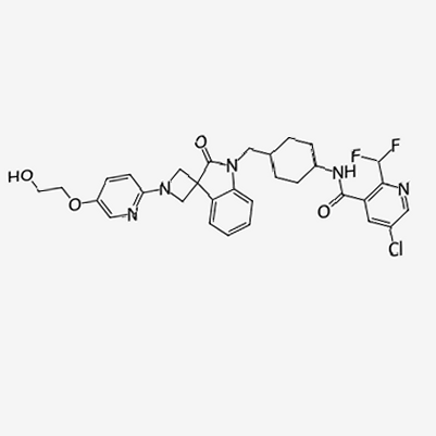 O=C(NC1CCC(CN2C(=O)C3(CN(c4ccc(OCCO)cn4)C3)c3ccccc32)CC1)c1cc(Cl)cnc1C(F)F